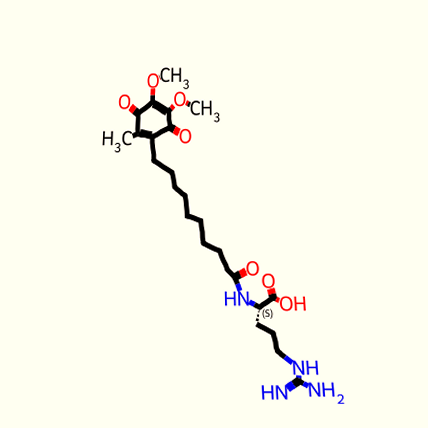 COC1=C(OC)C(=O)C(CCCCCCCCCC(=O)N[C@@H](CCCNC(=N)N)C(=O)O)=C(C)C1=O